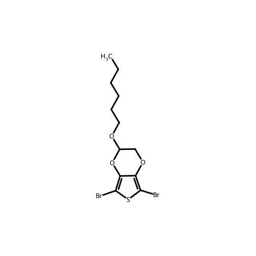 CCCCCCOC1COc2c(Br)sc(Br)c2O1